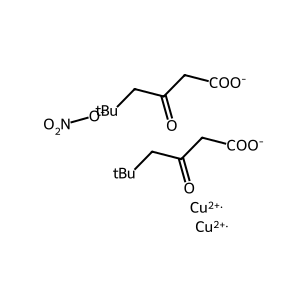 CC(C)(C)CC(=O)CC(=O)[O-].CC(C)(C)CC(=O)CC(=O)[O-].O=[N+]([O-])[O-].[Cu+2].[Cu+2]